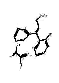 CNC/C=C(\c1cccnc1)c1ccccc1Br.O=C(O)C(=O)O